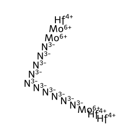 [Hf+4].[Hf+4].[Hf+4].[Mo+6].[Mo+6].[Mo+6].[N-3].[N-3].[N-3].[N-3].[N-3].[N-3].[N-3].[N-3].[N-3].[N-3]